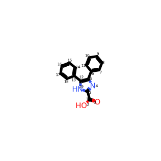 O=C(O)c1nc(-c2ccccc2)c(-c2ccccc2)[nH]1